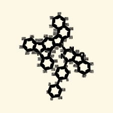 c1ccc(-c2ccc(-c3nc(-n4c5ccc6ccccc6c5c5cc6c7ccccc7n7c8ccccc8c(c54)c67)nc4oc5ccccc5c34)cc2)cc1